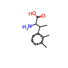 Cc1cccc(C(C)C(N)C(=O)O)c1C